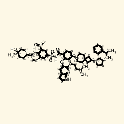 CC(C)c1ccccc1[C@@H]1CCCN1C1CC2(CCN(c3ccc(C(=O)NS(=O)(=O)c4cc5c(c([N+](=O)[O-])c4)N[C@@H]([C@H]4CC[C@](C)(O)CC4)CO5)c(Oc4cc5cc[nH]c5nc4OCCN(C)C)c3)CC2)C1